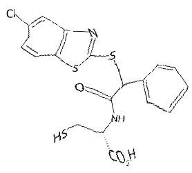 O=C(N[C@@H](CS)C(=O)O)C(Sc1nc2cc(Cl)ccc2s1)c1ccccc1